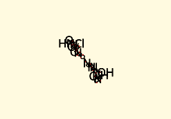 Cc1cccc(C(=O)Nc2cc3cn(C4CCN(CCC5CCC6(CC5)CCN(C(=O)c5ccc(Cl)c(N7CCC(=O)NC7=O)c5)CC6)CC4)nc3cc2C(C)(C)O)n1